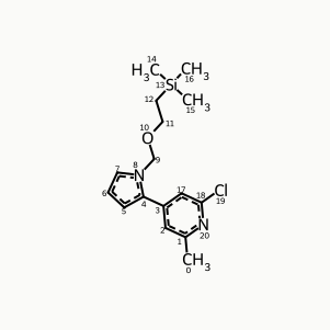 Cc1cc(-c2cccn2COCC[Si](C)(C)C)cc(Cl)n1